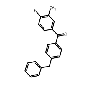 Cc1cc(C(=O)c2ccc(Cc3ccccc3)cc2)ccc1F